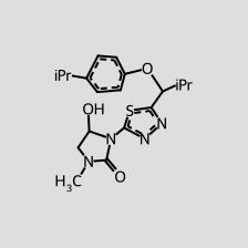 CC(C)c1ccc(OC(c2nnc(N3C(=O)N(C)CC3O)s2)C(C)C)cc1